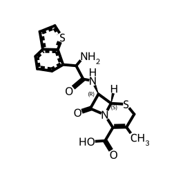 CC1=C(C(=O)O)N2C(=O)[C@@H](NC(=O)C(N)c3cccc4ccsc34)[C@@H]2SC1